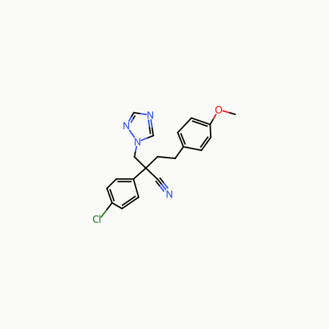 COc1ccc(CCC(C#N)(Cn2cncn2)c2ccc(Cl)cc2)cc1